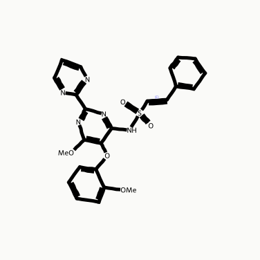 COc1ccccc1Oc1c(NS(=O)(=O)/C=C/c2ccccc2)nc(-c2ncccn2)nc1OC